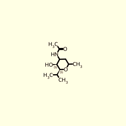 CC(=O)NC1CC(C)O[C@@H](C(C)C)[C@H]1O